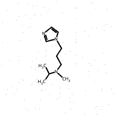 CC(C)N(C)CCCn1ccnc1